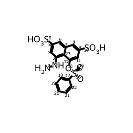 NNc1cc(S(=O)(=O)O)cc2cc(S(=O)(=O)O)cc(OS(=O)(=O)c3ccccc3)c12